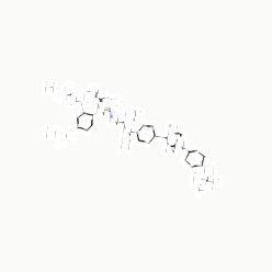 COC(C)c1cc(C)ccc1N1C(=O)CS/C1=N\C(=O)Nc1ccc(-c2ncn(-c3ccc(OC(F)(F)F)cc3)n2)cc1F